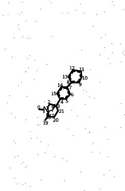 CN1CC2(c3ccc(-c4ccccc4)cc3)CCC1(C)CC2